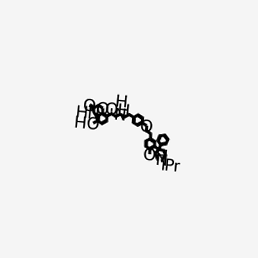 CC(C)N1CCC(c2ccccc2)(c2cc(CCOc3ccc(CCNC[C@H](O)c4ccc(O)c5c4OCC(=O)N5)cc3)ccc2O)CC1